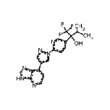 CC(C)C(O)(c1ccc(-n2cc(-c3ccnc4[nH]cnc34)cn2)nc1)C(F)(F)F